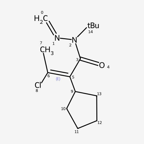 C=NN(C(=O)/C(=C(\C)Cl)C1CCCC1)C(C)(C)C